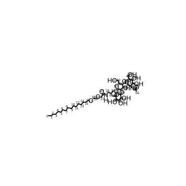 CCCCCCCCCCCCCCCCCOCCOCC(=O)NCCCO[C@@H]1OC(CO)[C@H](O)C(O[C@@H]2OC(CO)[C@H](O)C(O)C2NC(C)=O)C1O[C@@H]1OC(C)[C@@H](O)C(O)C1O